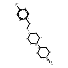 Fc1ccc(CC[C@H]2CC[C@H](C3CC[SiH](Cl)CC3)CC2)cc1